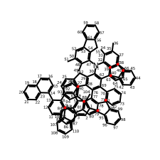 Cc1cc2c(c(-c3c(-c4ccccc4-c4cccc5ccccc45)ccc4c3-c3c(c(N(c5c(C)c(C)cc6c5Cc5ccccc5-6)c5c(C)c(C)cc6c5Cc5ccccc5-6)c(-c5ccccc5)c(-c5ccccc5)c3-c3c5c(cc(-c6ccccc6)c3-c3ccccc3)-c3ccccc3C5)C4)c1C)Cc1ccccc1-2